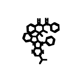 CC(C)c1cnc2c(n1)N(c1ccccc1)C1C(C3(C)c4ccccc4NC(Nc4ccccc4)C3C)c3ccccc3N21